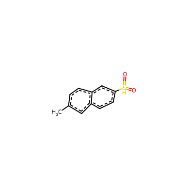 Cc1ccc2cc([SH](=O)=O)ccc2c1